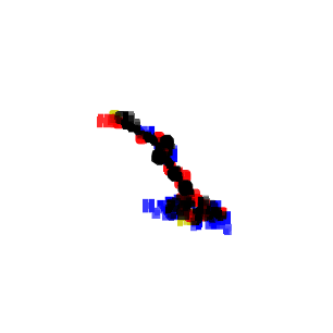 CP(O)(=S)OCCCCCCNC(=O)CCCCC(=O)N1Cc2ccccc2-c2c(nnn2CCOc2ccc(C(=O)Oc3ccc(CS[P@@]4(=O)N[C@H]5[C@@H](O)[C@H](n6cnc7c(N)ncnc76)O[C@@H]5CO[P@](=O)(S)N[C@H]5[C@@H](O)[C@H](n6cnc7c(=O)[nH]c(N)nc76)O[C@@H]5CO4)cc3)cc2)-c2ccccc21